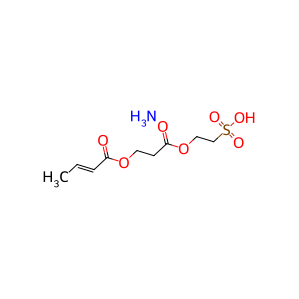 CC=CC(=O)OCCC(=O)OCCS(=O)(=O)O.N